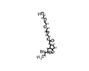 CCC(Br)C(Br)CC1C(=O)CCC1CC(=O)OCCOCCOCCOCCO